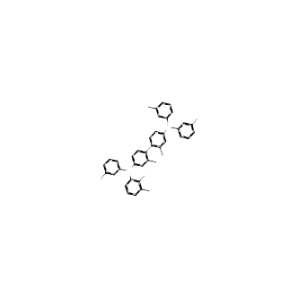 Cc1cccc(N(c2cccc(C)c2)c2ccc(-c3ccc(N(c4cccc(C)c4)c4cccc(C)c4C)cc3C)c(C)c2)c1